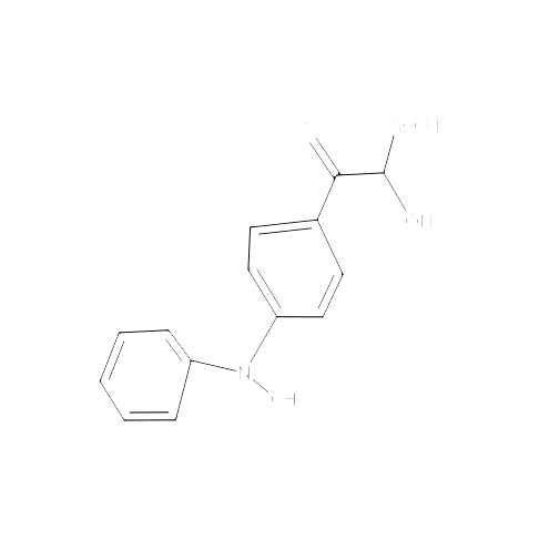 CN(c1ccccc1)c1ccc(C(=O)C(O)S(=O)(=O)O)cc1